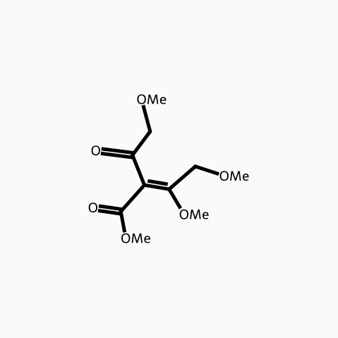 COCC(=O)C(C(=O)OC)=C(COC)OC